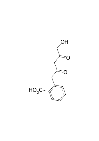 O=C(CO)CC(=O)Cc1ccccc1C(=O)O